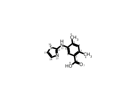 Cc1cc(C)c(C(=O)O)cc1Nc1nccs1